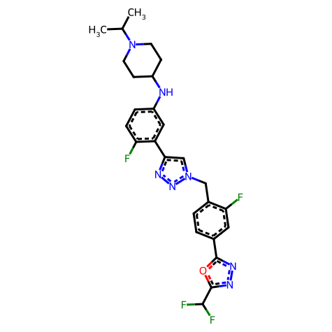 CC(C)N1CCC(Nc2ccc(F)c(-c3cn(Cc4ccc(-c5nnc(C(F)F)o5)cc4F)nn3)c2)CC1